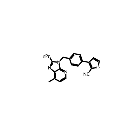 CCCc1nc2c(C)ccnc2n1Cc1ccc(-c2ccoc2C#N)cc1